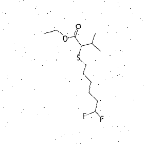 CCOC(=O)C(SCCCCCC(F)F)C(C)C